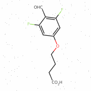 O=Cc1c(F)cc(OCCCC(=O)O)cc1F